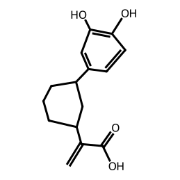 C=C(C(=O)O)C1CCCC(c2ccc(O)c(O)c2)C1